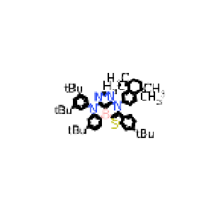 CC(C)(C)c1cc(N2c3cc(C(C)(C)C)ccc3B3c4sc5cc(C(C)(C)C)ccc5c4N(c4ccc5c(c4)C(C)(C)CCC5(C)C)c4ncnc2c43)cc(C(C)(C)C)c1